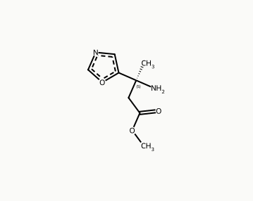 COC(=O)C[C@](C)(N)c1cnco1